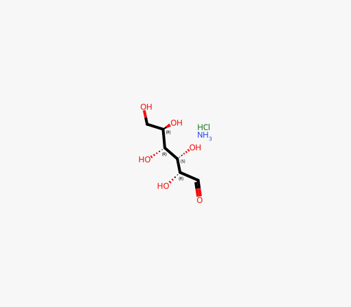 Cl.N.O=C[C@H](O)[C@@H](O)[C@H](O)[C@H](O)CO